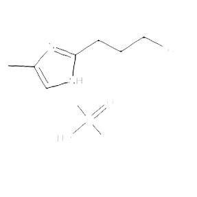 CCCCCCCCCCCc1nc(C)c[nH]1.O=P(O)(O)O